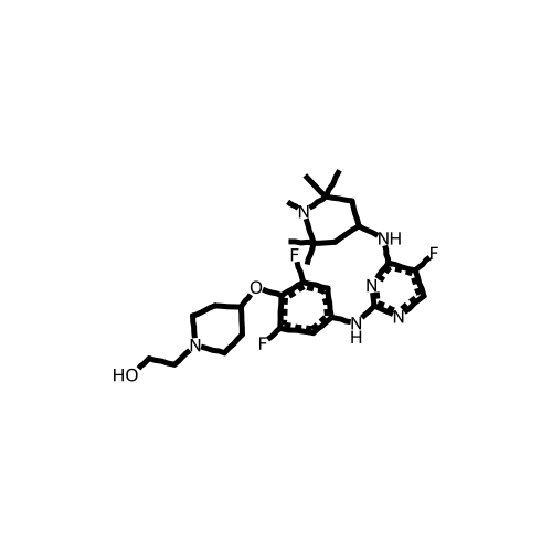 CN1C(C)(C)CC(Nc2nc(Nc3cc(F)c(OC4CCN(CCO)CC4)c(F)c3)ncc2F)CC1(C)C